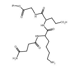 CC(C)OC(=O)CNC(=O)C(CCC(=O)O)NC(=O)C(CCCCN)NC(=O)CCC(N)=O